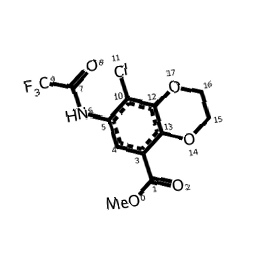 COC(=O)c1cc(NC(=O)C(F)(F)F)c(Cl)c2c1OCCO2